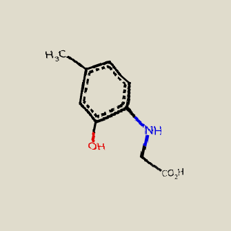 Cc1ccc(NCC(=O)O)c(O)c1